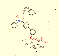 CC(=O)O[C@H]1[C@H](OC(C)=O)[C@@H](Oc2cccc(-c3ccc([C@@H]4[C@@H](CC[C@H](OC(C)=O)c5ccc(F)cc5)C(=O)N4c4ccc(F)cc4)cc3)c2)O[C@@H](C(=O)OO)[C@@H]1OC(C)=O